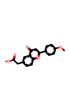 COc1ccc(-c2cc(=O)c3cc(CC(=O)O)ccc3o2)cc1